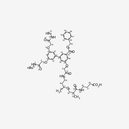 CCCCNC(=O)COc1cc(OCC(=O)NCCCC)cc(-c2cc(OCC(=O)NCCC(C)OCC(C)C(=O)NCCCC(=O)O)cc(C(=O)OCc3ccccc3)c2)c1